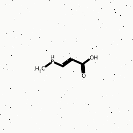 CPC=CC(=O)O